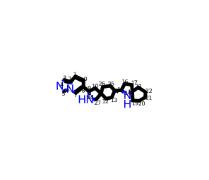 c1cc2cncn2cc1C1CC2(CCC(C3CCC4(CCCCC4)N3)CC2)CN1